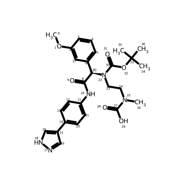 COc1cccc([C@H](C(=O)Nc2ccc(-c3cn[nH]c3)cc2)N(CCN(C)C(=O)O)C(=O)OC(C)(C)C)c1